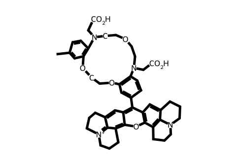 Cc1ccc2c(c1)OCCOc1cc(C3=c4cc5c6c(c4Oc4c3cc3c7c4CCCN7CCC3)CCC[N+]=6CCC5)ccc1N(CC(=O)O)CCOCCN2CC(=O)O